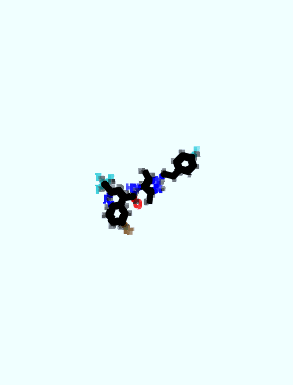 Cc1nn(CCc2ccc(F)cc2)c(C)c1NC(=O)c1cc(C(F)(F)F)nc2ccc(Br)cc12